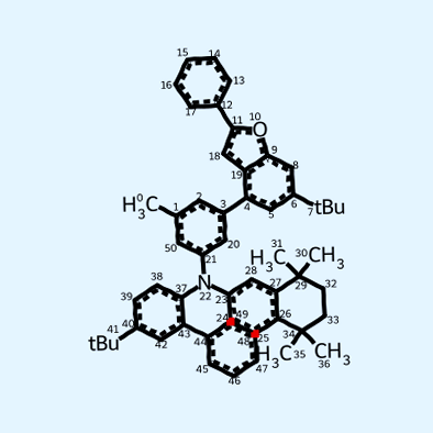 Cc1cc(-c2cc(C(C)(C)C)cc3oc(-c4ccccc4)cc23)cc(N(c2ccc3c(c2)C(C)(C)CCC3(C)C)c2ccc(C(C)(C)C)cc2-c2ccccc2)c1